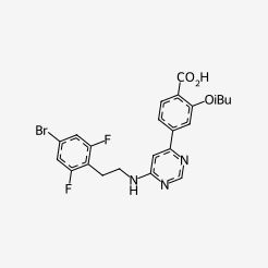 CC(C)COc1cc(-c2cc(NCCc3c(F)cc(Br)cc3F)ncn2)ccc1C(=O)O